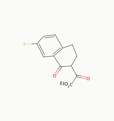 CCOC(=O)C(=O)C1CCc2ccc(F)cc2C1=O